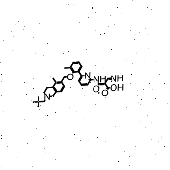 CO/C(Nc1cccc(-c2cccc(C)c2OCc2ccc3c(c2C)CCN(CC(C)(C)C)C3)n1)=C(/C=N)C(=O)O